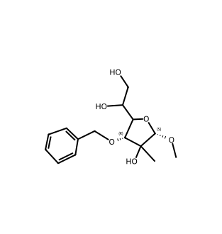 CO[C@H]1OC(C(O)CO)[C@@H](OCc2ccccc2)C1(C)O